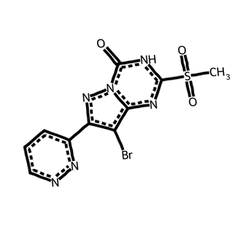 CS(=O)(=O)c1nc2c(Br)c(-c3cccnn3)nn2c(=O)[nH]1